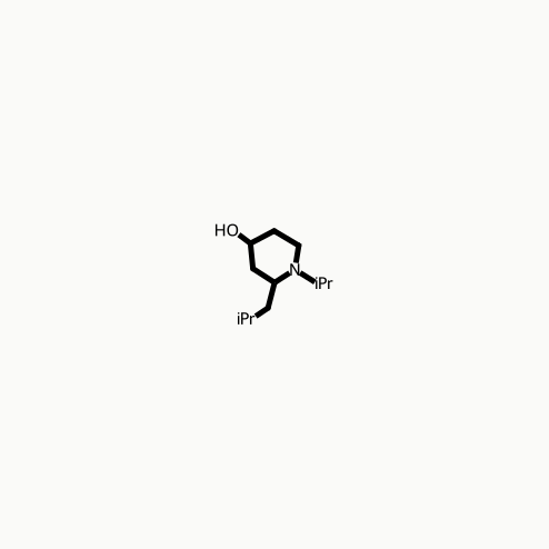 CC(C)CC1CC(O)CCN1C(C)C